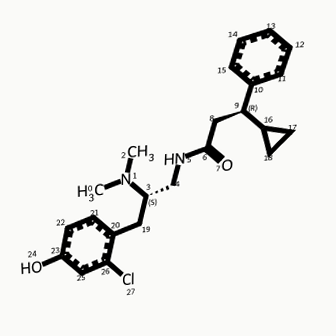 CN(C)[C@H](CNC(=O)C[C@@H](c1ccccc1)C1CC1)Cc1ccc(O)cc1Cl